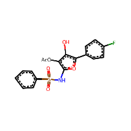 CC(=O)Oc1c(NS(=O)(=O)c2ccccc2)oc(-c2ccc(F)cc2)c1O